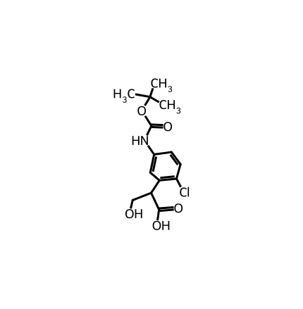 CC(C)(C)OC(=O)Nc1ccc(Cl)c(C(CO)C(=O)O)c1